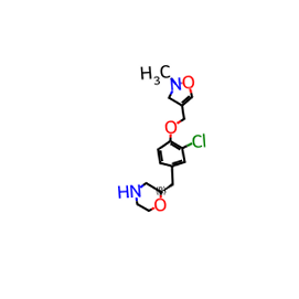 CN1CC(COc2ccc(C[C@@H]3CNCCO3)cc2Cl)=CO1